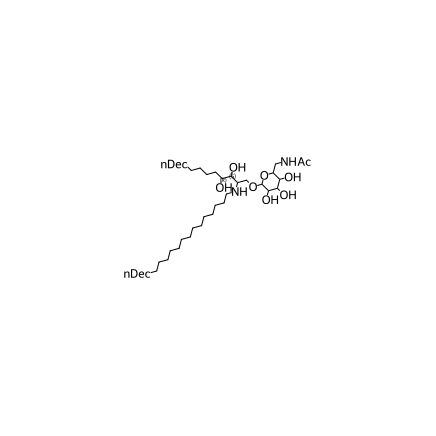 CCCCCCCCCCCCCCCCCCCCCCCCNC(COC1OC(CNC(C)=O)C(O)C(O)C1O)[C@H](O)[C@H](O)CCCCCCCCCCCCCC